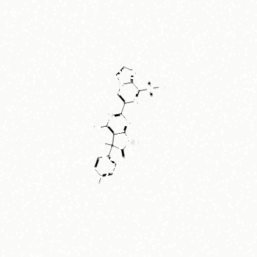 CC1(c2ccc(F)cc2)C(=O)Nc2nc(-c3cn4ccnc4c(S(C)(=O)=O)n3)nc(N)c21